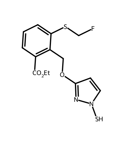 CCOC(=O)c1cccc(SCF)c1COc1ccn(S)n1